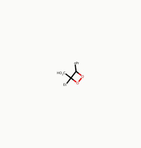 CCCC1OOC1(CC)C(=O)O